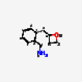 NCC1C=CC=C[C@@H]1CC1CCO1